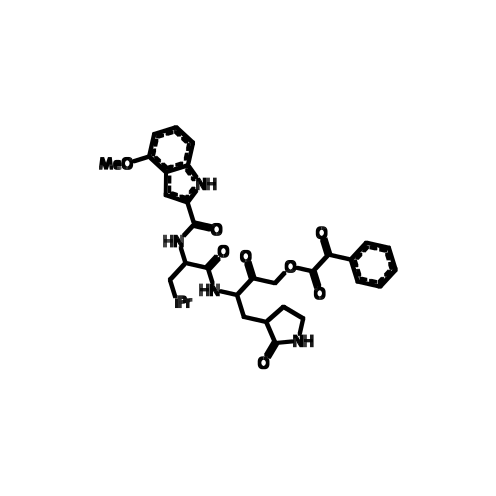 COc1cccc2[nH]c(C(=O)NC(CC(C)C)C(=O)NC(CC3CCNC3=O)C(=O)COC(=O)C(=O)c3ccccc3)cc12